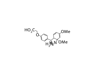 COC1=CC(N)(OC)C(C(N)c2ccc(OCC(=O)O)cc2)C=C1